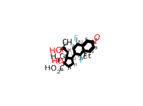 CC[C@]12C=CC(=O)C=C1[C@@H](F)CC(C1CC[C@](O)(C(=O)O)[C@@]1(C)C[C@@H](C)O)[C@H]2F